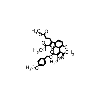 COC(=O)CCc1c(C(=O)OC)n(C)c2c(-c3c(C)nn(C)c3COCc3ccc(OC)cc3)c(Cl)ccc12